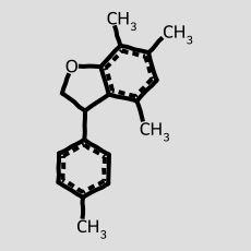 Cc1ccc(C2COc3c(C)c(C)cc(C)c32)cc1